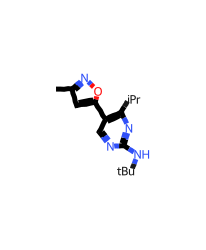 Cc1cc(-c2cnc(NC(C)(C)C)nc2C(C)C)on1